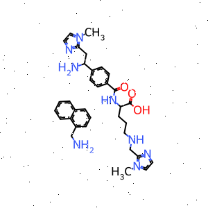 Cn1ccnc1CNCCCC(NC(=O)c1ccc(C(N)Cc2nccn2C)cc1)C(=O)O.NCc1cccc2ccccc12